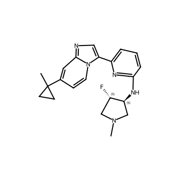 CN1C[C@H](Nc2cccc(-c3cnc4cc(C5(C)CC5)ccn34)n2)[C@@H](F)C1